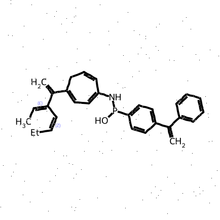 C=C(C1=CC=C(NP(O)c2ccc(C(=C)c3ccccc3)cc2)C=CC1)C(/C=C\CC)=C/C